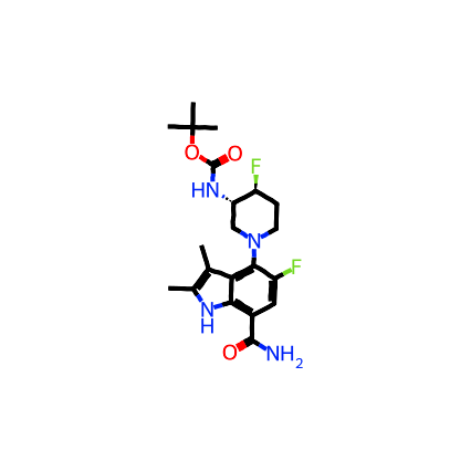 Cc1[nH]c2c(C(N)=O)cc(F)c(N3CC[C@H](F)[C@@H](NC(=O)OC(C)(C)C)C3)c2c1C